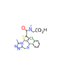 Cc1nnc2n1-c1sc(C(=O)N(C)CC(=O)O)cc1C(c1ccccc1Cl)=NC2